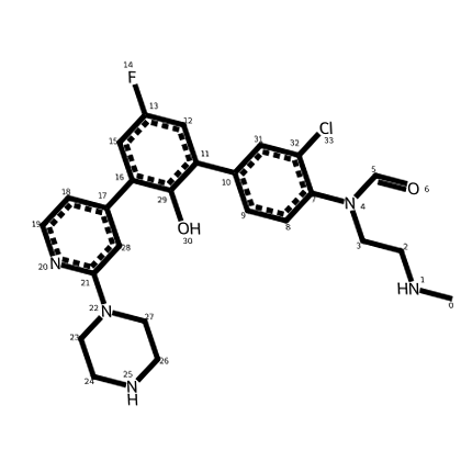 CNCCN(C=O)c1ccc(-c2cc(F)cc(-c3ccnc(N4CCNCC4)c3)c2O)cc1Cl